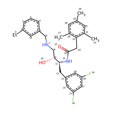 CCc1cccc(CNC[C@@H](O)[C@H](Cc2cc(F)cc(F)c2)NC(=O)Cc2c(C)cc(C)cc2C)c1